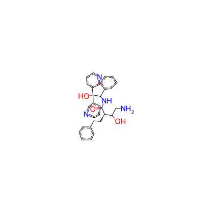 NCC(O)[C@@H](CCc1ccccc1)C(=O)N[C@H](c1ccccc1)C(O)(c1cccnc1)c1cccnc1